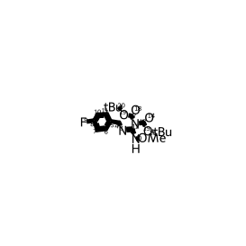 CONC(=NCc1ccc(F)cc1)N(C(=O)OC(C)(C)C)C(=O)OC(C)(C)C